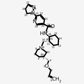 C=CCOC[C@@H]1CCCN(C[C@H]2CCCC[C@@H]2NC(=O)c2ccc(N3CCC=N3)nc2)C1